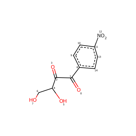 O=C(C(=O)C(O)CO)c1ccc([N+](=O)[O-])cc1